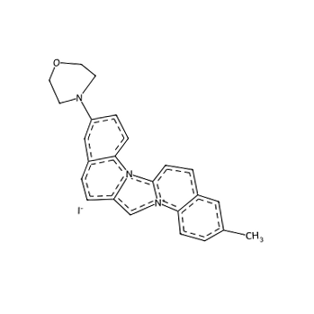 Cc1ccc2c(ccc3n4c(ccc5cc(N6CCOCC6)ccc54)c[n+]23)c1.[I-]